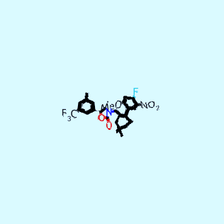 COc1cc(F)c([N+](=O)[O-])cc1C1=C(CN2C(=O)O[C@H](c3cc(C)cc(C(F)(F)F)c3)[C@@H]2C)CC(C)(C)CC1